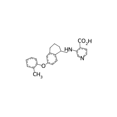 Cc1ccccc1Oc1ccc2c(c1)CCCC2CNc1cnccc1C(=O)O